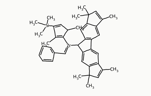 CC1=CC(C)(C)c2cc3c(cc21)-c1cc2c(cc1[CH]3[Zr](=[CH]c1ccccc1)[C]1=C(C)C([Si](C)(C)C)=CC1C)C(C)(C)C=C2C